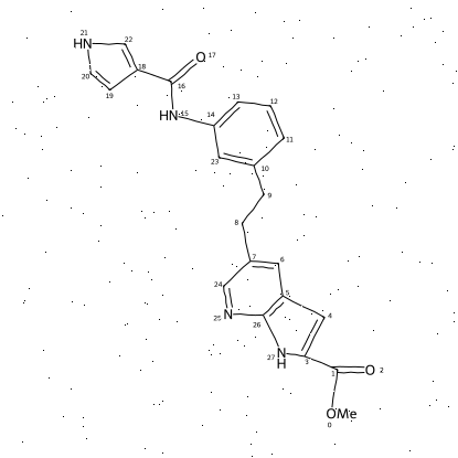 COC(=O)c1cc2cc(CCc3cccc(NC(=O)c4cc[nH]c4)c3)cnc2[nH]1